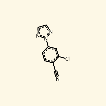 N#Cc1ccc(-n2nccn2)cc1Cl